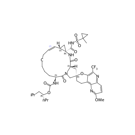 CCC[C@H](CC(C)C)OC(=O)N[C@H]1CCCCC/C=C\[C@@H]2C[C@@]2(C(=O)NS(=O)(=O)C2(C)CC2)NC(=O)[C@@H]2C[C@]3(CCc4c(c(C(F)(F)F)nc5ccc(OC)nc45)O3)CN2C1=O